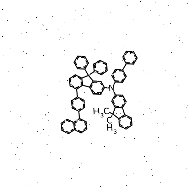 CC1(C)c2ccccc2-c2ccc(N(c3ccc(-c4ccccc4)cc3)c3ccc4c(c3)C(c3ccccc3)(c3ccccc3)c3cccc(-c5ccc(-c6cccc7ccccc67)cc5)c3-4)cc21